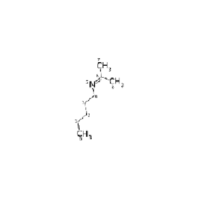 CCCCCN=C(C)C